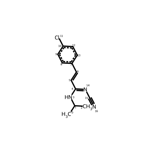 CC(C)NC(C=Cc1ccc(Cl)cc1)=NC#N